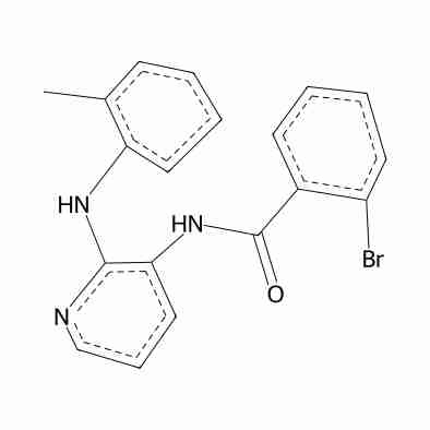 Cc1ccccc1Nc1ncccc1NC(=O)c1ccccc1Br